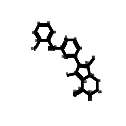 Cc1c(-c2ccnc(Nc3ccccc3F)n2)c(C)n2c1C(=O)NCC2